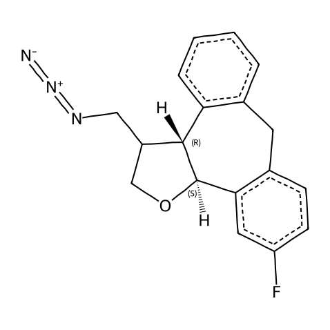 [N-]=[N+]=NCC1CO[C@@H]2c3cc(F)ccc3Cc3ccccc3[C@@H]12